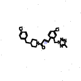 Cc1nnn(Cc2cc(Cl)ccc2/C=C/C(=O)N2CCC(Cc3ccc(Cl)cc3)CC2)n1